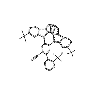 CC(C)(C)c1ccc2c3ccccc3n(-c3cc(C#N)c(-c4ccccc4C(F)(F)F)cc3-n3c4ccccc4c4ccc(C(C)(C)C)cc43)c2c1